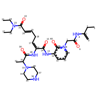 C=C(CC)NC(=O)Cn1cccc(NC(=O)/C(=C\C/C=C/C(=O)N(CC)CC)NC(=O)C(C)N2CCNCC2)c1=O